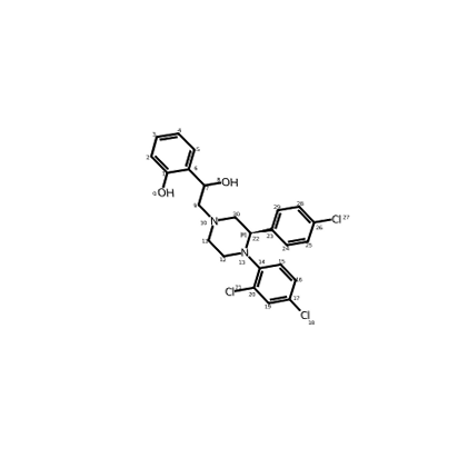 Oc1ccccc1C(O)CN1CCN(c2ccc(Cl)cc2Cl)[C@H](c2ccc(Cl)cc2)C1